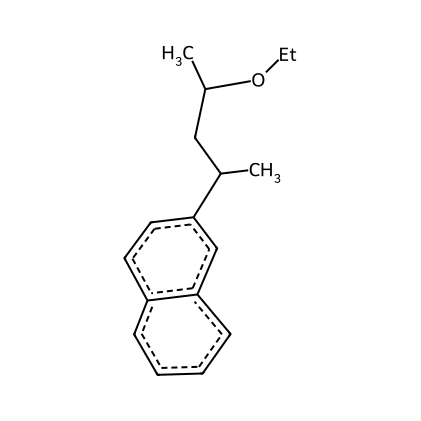 CCOC(C)CC(C)c1ccc2ccccc2c1